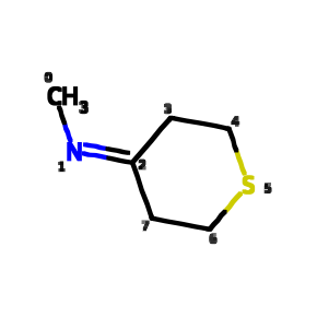 CN=C1CCSCC1